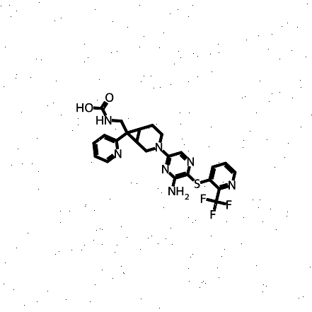 Nc1nc(N2CCC3C(C2)C3(CNC(=O)O)c2ccccn2)cnc1Sc1cccnc1C(F)(F)F